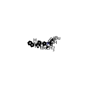 CC(C)(C)OC(=O)NS(=O)(=O)/C=C/[C@@H]1C[C@@H](n2ccc3c(N[C@H]4CCc5ccccc54)ncnc32)C[C@@H]1[Si](C)(C)C(C)(C)C